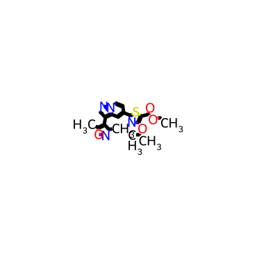 CCOC(=O)c1sc(-c2ccn3ncc(-c4c(C)noc4C)c3c2)nc1OC(C)C